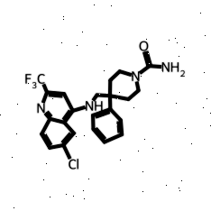 NC(=O)N1CCC(CNc2cc(C(F)(F)F)nc3ccc(Cl)cc23)(c2ccccc2)CC1